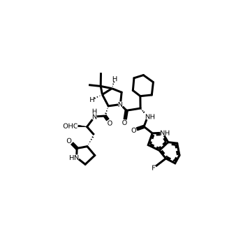 CC1(C)[C@@H]2[C@@H](C(=O)N[C@H](C=O)C[C@@H]3CCNC3=O)N(C(=O)[C@@H](NC(=O)c3cc4c(F)cccc4[nH]3)C3CCCCC3)C[C@@H]21